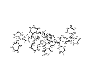 C[Si](C)(C)C1([Si](C)(C)C)c2cc(N(c3ccccc3)c3ccc4c(c3)c3ccccc3n4-c3ccccc3)c3ccccc3c2-c2c1c1ccc(N(c3ccccc3)c3ccc4c(c3)c3ccccc3n4-c3ccccc3)cc1c1ccccc21